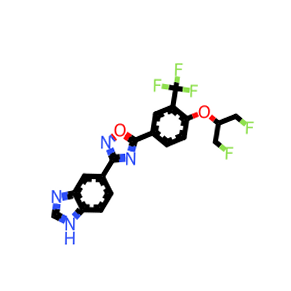 FCC(CF)Oc1ccc(-c2nc(-c3ccc4[nH]cnc4c3)no2)cc1C(F)(F)F